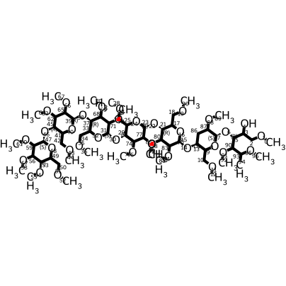 COCC(O)[C@@H](O[C@@H]1OC(COC)[C@@H](O[C@@H]2OC(COC)[C@@H](O[C@H]3OC(COC)[C@@H](O[C@@H]4OC(COC)[C@@H](O[C@H]5OC(COC)[C@@H](O[C@@H]6OC(COC)[C@@H](OC)C(OC)C6OC)C(OC)C5OC)C(OC)C4OC)C(OC)C3OC)C(OC)C2OC)CC1OC)C(OC)C(C)OC